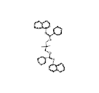 CC(C)(CO/C(=N/c1cccc2ccccc12)c1ccccc1)CO/C(=N/c1cccc2ccccc12)c1ccccc1